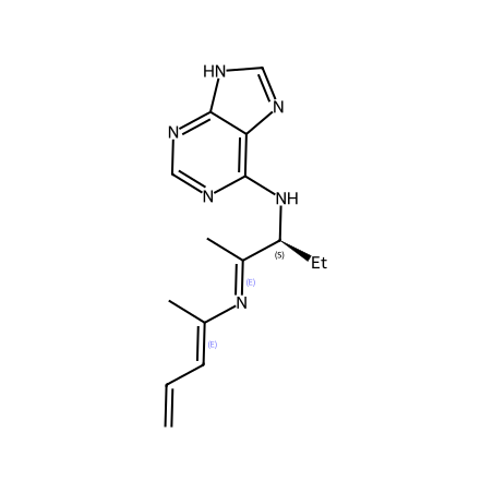 C=C/C=C(C)/N=C(\C)[C@H](CC)Nc1ncnc2[nH]cnc12